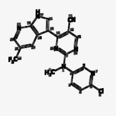 CN(c1ccc(Cl)nc1)c1ncc(C#N)c(-c2c[nH]c3ncc(C(F)(F)F)cc23)n1